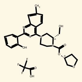 Cc1ccc2c(N3CCN(C(=O)O[C@@H]4CCOC4)[C@@H](CO)C3)nc(-c3ccccc3O)nc2c1.O=C(O)C(F)(F)F